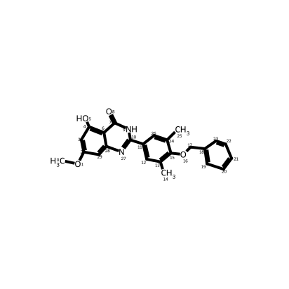 COc1cc(O)c2c(=O)[nH]c(-c3cc(C)c(OCc4ccccc4)c(C)c3)nc2c1